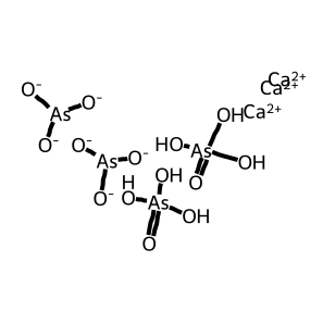 O=[As](O)(O)O.O=[As](O)(O)O.[Ca+2].[Ca+2].[Ca+2].[O-][As]([O-])[O-].[O-][As]([O-])[O-]